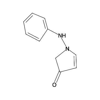 O=C1C=CN(Nc2ccccc2)C1